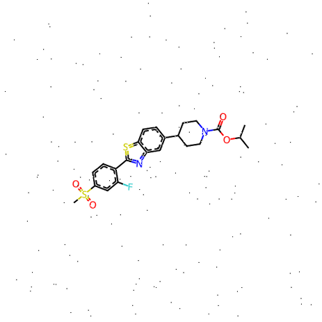 CC(C)OC(=O)N1CCC(c2ccc3sc(-c4ccc(S(C)(=O)=O)cc4F)nc3c2)CC1